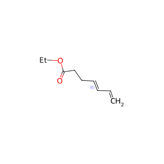 C=C/C=C/CCC(=O)OCC